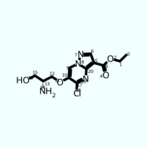 CCOC(=O)c1cnn2cc(OC[C@H](N)CO)c(Cl)nc12